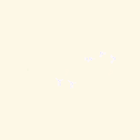 Cc1oc2ncnc(N)c2c1-c1ccc(NC(=O)Nc2cccc(C(F)(F)F)c2)cc1